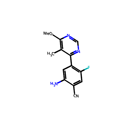 COc1ncnc(-c2cc(N)c(C#N)cc2F)c1C